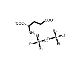 CC[N+](CC)(CC)CC.CC[N+](CC)(CC)CC.N[C@@H](CCC(=O)[O-])C(=O)[O-]